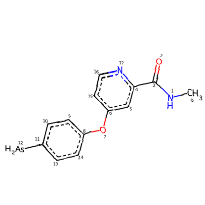 CNC(=O)c1cc(Oc2ccc([AsH2])cc2)ccn1